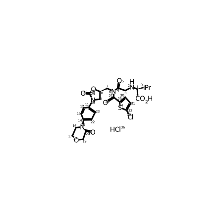 CC(C)[C@H](NCC(=O)N(C[C@H]1CN(c2ccc(N3CCOCC3=O)cc2)C(=O)O1)C(=O)c1ccc(Cl)s1)C(=O)O.Cl